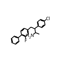 CC(N)C(Cc1ccc(-c2ccccc2)c(F)c1)c1ccc(Cl)cc1